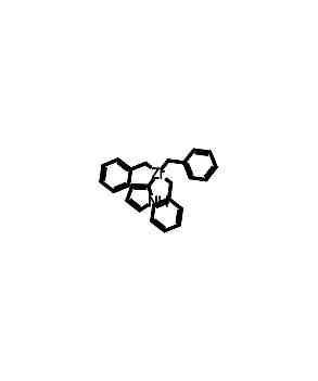 c1ccc([CH2][Zr]([CH2]c2ccccc2)([CH2]c2ccccc2)[c]2ccc[nH]2)cc1